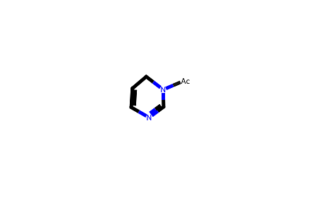 CC(=O)N1C=NC=CC1